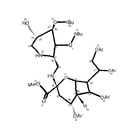 CCCCOC1[C@@H](CN[C@]2(C(=O)OC)C[C@@H](OC(C)=O)[C@H]3C(OC(C)=O)C(C(COC(C)=O)OC(C)=O)C3O2)NC[C@H](O)[C@H]1OCCCC